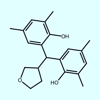 Cc1cc(C)c(O)c(C(c2cc(C)cc(C)c2O)C2CCOC2)c1